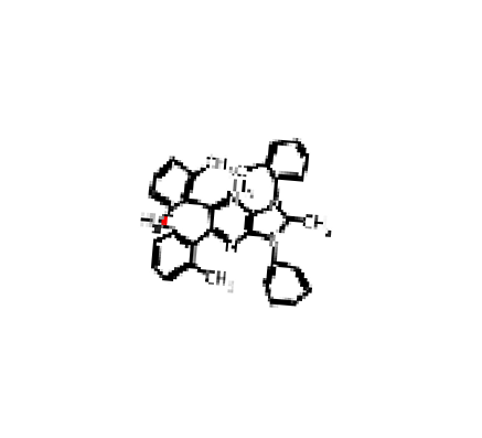 Cc1ccccc1N1c2nc(-c3c(C)cccc3C)c(-c3c(C)cccc3C)nc2N(c2ccccc2)C1C